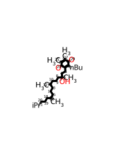 CCCCC1=C(CC[C@](C)(O)CCC[C@H](C)CCC[C@H](C)CCCC(C)C)C(=O)C(C)=C(C)C1=O